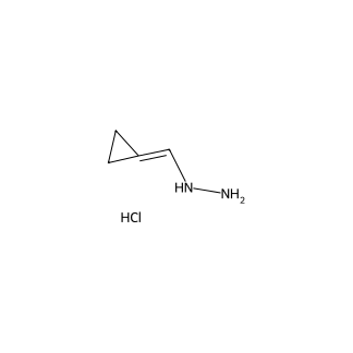 Cl.NNC=C1CC1